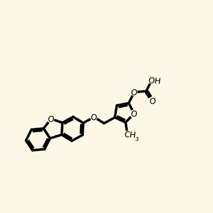 Cc1oc(OC(=O)O)cc1COc1ccc2c(c1)oc1ccccc12